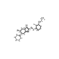 Cc1c(OCC(F)(F)F)ccnc1CSc1nc2cc(N3CCCCC3)c(F)cc2[nH]1